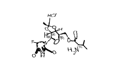 CC(C)[C@H](N)C(=O)OC[C@H]1O[C@@H](n2cc(F)c(=O)[nH]c2=O)[C@@H]2OC(C)(C)O[C@@H]21.Cl